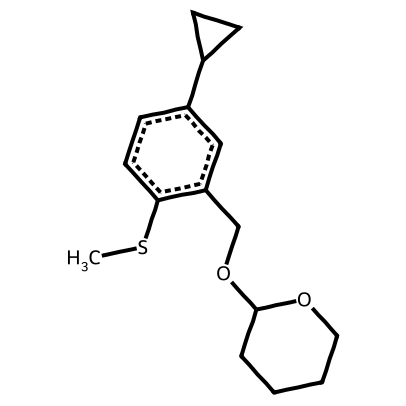 CSc1ccc(C2CC2)cc1COC1CCCCO1